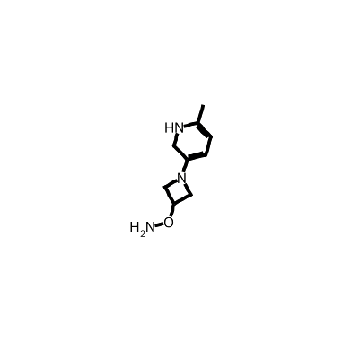 CC1=CC=C(N2CC(ON)C2)CN1